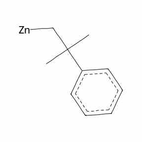 CC(C)([CH2][Zn])c1ccccc1